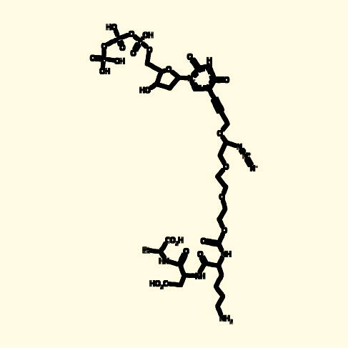 CCC(NC(=O)C(CC(=O)O)NC(=O)C(CCCCN)NC(=O)OCCOCCOCC(N=[N+]=[N-])OCC#Cc1cn(C2CC(O)C(COP(=O)(O)OP(=O)(O)OP(=O)(O)O)O2)c(=O)[nH]c1=O)C(=O)O